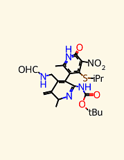 C=C1C(CNC=O)=C(c2c(C)[nH]c(=O)c([N+](=O)[O-])c2SC(C)C)C(NC(=O)OC(C)(C)C)=NC1C